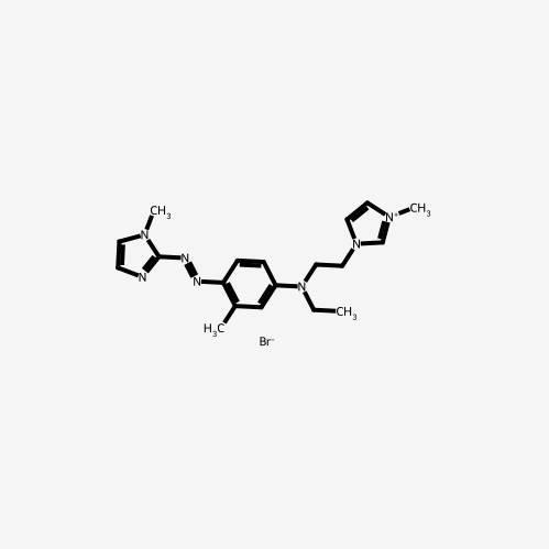 CCN(CCn1cc[n+](C)c1)c1ccc(N=Nc2nccn2C)c(C)c1.[Br-]